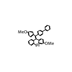 COc1ccc(/C(=C(/c2ccc(OC)cc2)c2ccccc2C(C)C)c2ccc(-c3ccccc3)cc2)cc1